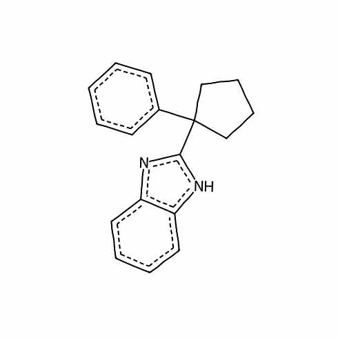 c1ccc(C2(c3nc4ccccc4[nH]3)CCCC2)cc1